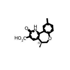 Cc1ccc2c(c1)-c1[nH]c(=O)c(C(=O)O)cc1[C@H](C)CO2